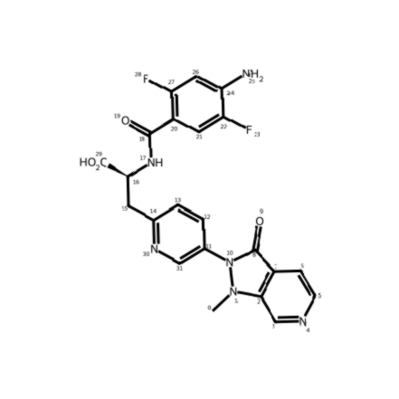 Cn1c2cnccc2c(=O)n1-c1ccc(C[C@H](NC(=O)c2cc(F)c(N)cc2F)C(=O)O)nc1